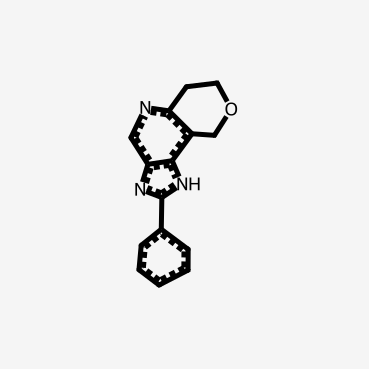 c1ccc(-c2nc3cnc4c(c3[nH]2)COCC4)cc1